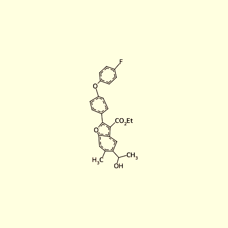 CCOC(=O)c1c(-c2ccc(Oc3ccc(F)cc3)cc2)oc2cc(C)c(C(C)O)cc12